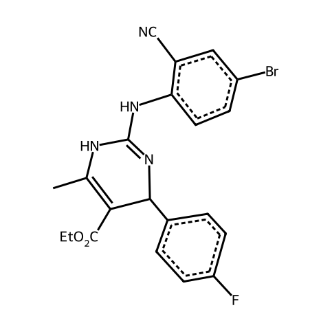 CCOC(=O)C1=C(C)NC(Nc2ccc(Br)cc2C#N)=NC1c1ccc(F)cc1